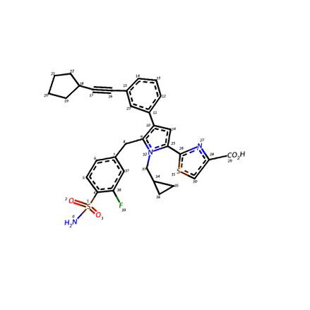 NS(=O)(=O)c1ccc(Cc2c(-c3cccc(C#CC4CCCC4)c3)cc(-c3nc(C(=O)O)cs3)n2CC2CC2)cc1F